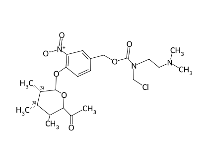 CC(=O)C1OC(Oc2ccc(COC(=O)N(CCl)CCN(C)C)cc2[N+](=O)[O-])[C@@H](C)[C@@H](C)C1C